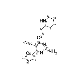 N#Cc1c(OCCC2CCCCN2)nc(N)nc1-c1ccco1